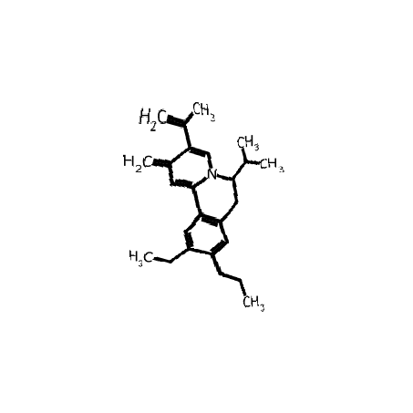 C=C(C)C1=CN2C(=CC1=C)c1cc(CC)c(CCC)cc1CC2C(C)C